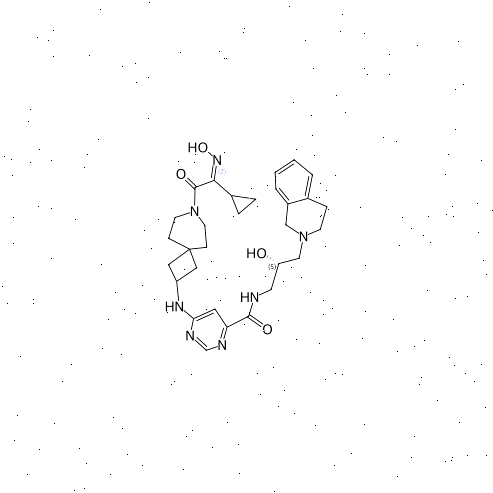 O=C(NC[C@H](O)CN1CCc2ccccc2C1)c1cc(NC2CC3(CCN(C(=O)/C(=N\O)C4CC4)CC3)C2)ncn1